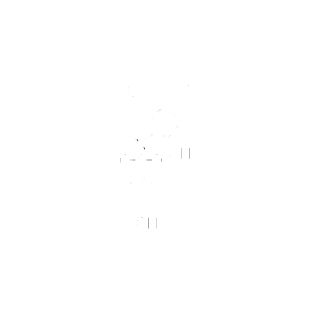 Cc1ccc(S(=O)(=O)n2ccc3c(CCl)c(C4CC4)cc(C)c32)cc1